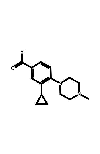 CCC(=O)c1ccc(N2CCN(C)CC2)c(C2CC2)c1